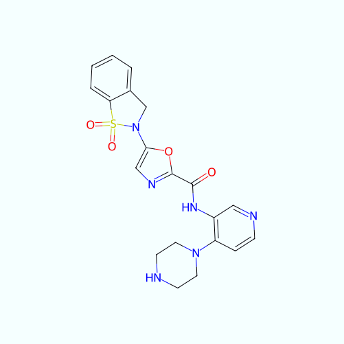 O=C(Nc1cnccc1N1CCNCC1)c1ncc(N2Cc3ccccc3S2(=O)=O)o1